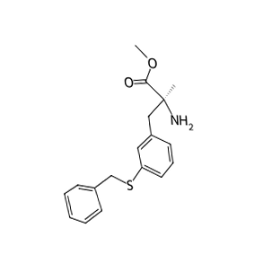 COC(=O)[C@@](C)(N)Cc1cccc(SCc2ccccc2)c1